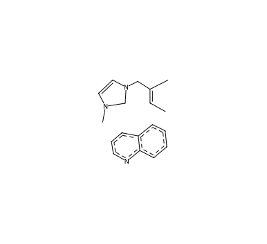 CC=C(C)CN1C=CN(C)C1.c1ccc2ncccc2c1